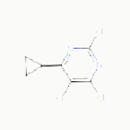 Clc1nc(Cl)c(Cl)c(C2CC2)n1